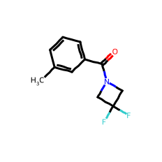 Cc1cccc(C(=O)N2CC(F)(F)C2)c1